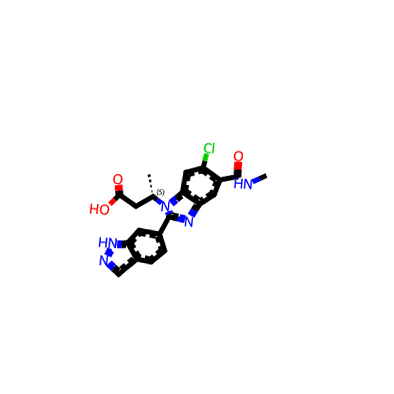 CNC(=O)c1cc2nc(-c3ccc4cn[nH]c4c3)n([C@@H](C)CC(=O)O)c2cc1Cl